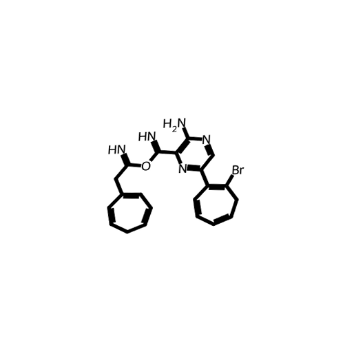 N=C(CC1=CC=CCC=C1)OC(=N)c1nc(C2=C(Br)CC=CC=C2)cnc1N